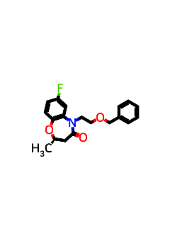 C[C@@H]1CC(=O)N(CCOCc2ccccc2)c2cc(F)ccc2O1